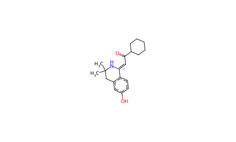 CC1(C)Cc2cc(O)ccc2/C(=C/C(=O)C2CCCCC2)N1